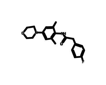 Cc1cc(N2CCOCC2)cc(C)c1NC(=O)Cc1ccc(F)cc1